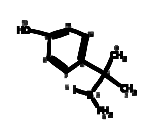 CC(C)(B(P)I)c1ccc(O)cc1